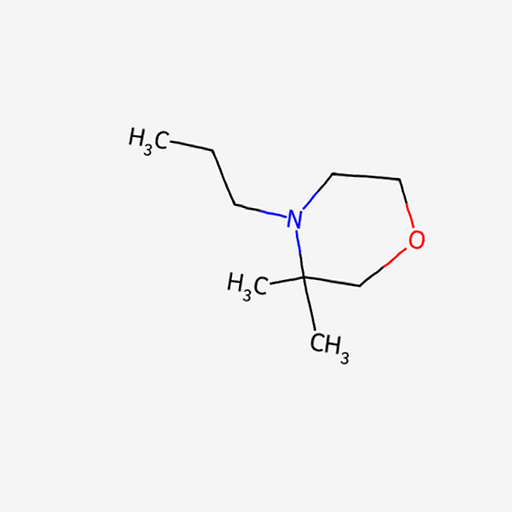 CCCN1CCOCC1(C)C